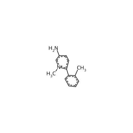 Cc1ccccc1-c1ccc(N)c[n+]1C